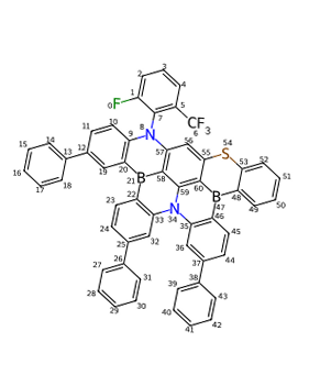 Fc1cccc(C(F)(F)F)c1N1c2ccc(-c3ccccc3)cc2B2c3ccc(-c4ccccc4)cc3N3c4cc(-c5ccccc5)ccc4B4c5ccccc5Sc5cc1c2c3c54